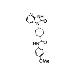 COc1ccc(NC(=O)[C@H]2CC[C@@H](n3c(=O)[nH]c4ncccc43)CC2)cc1